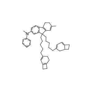 CC1=CC2=C(CC1)c1ccc(N(C)c3ccccc3)cc1C2(CCCCCC1=CC2=C(CC1)CC2)CCCCCC1=CC=C2CCC2C1